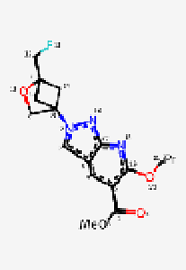 COC(=O)c1cc2cn(C34COC(CF)(C3)C4)nc2nc1OC(C)C